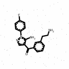 NCCc1cccc(C(=O)c2cnn(-c3ccc(F)cc3)c2N)c1